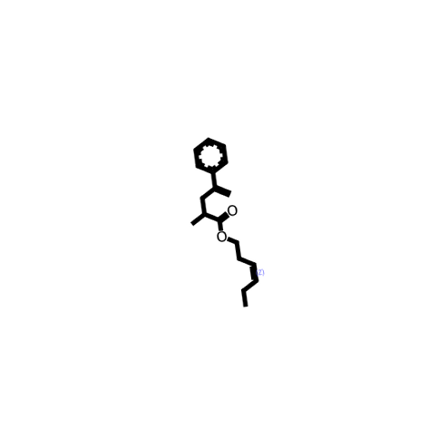 C=C(CC(C)C(=O)OCC/C=C\CC)c1ccccc1